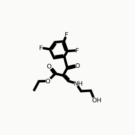 CCOC(=O)/C(=C/NCCO)C(=O)c1cc(F)cc(F)c1F